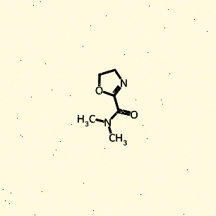 CN(C)C(=O)C1=NCCO1